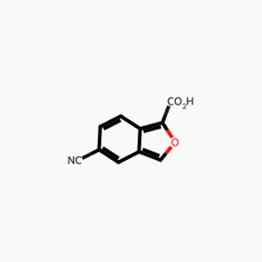 N#Cc1ccc2c(C(=O)O)occ2c1